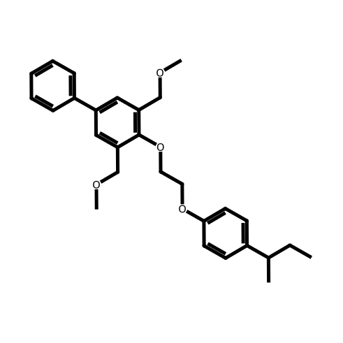 CCC(C)c1ccc(OCCOc2c(COC)cc(-c3ccccc3)cc2COC)cc1